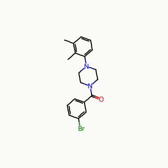 Cc1cccc(N2CCN(C(=O)c3cccc(Br)c3)CC2)c1C